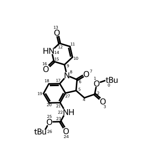 CC(C)(C)OC(=O)CC1C(=O)N(C2C=CC(=O)NC2=O)c2cccc(NC(=O)OC(C)(C)C)c21